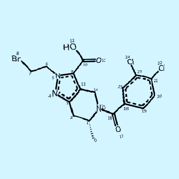 C[C@@H]1Cc2nn(CCBr)c(C(=O)O)c2CN1C(=O)c1ccc(Cl)c(Cl)c1